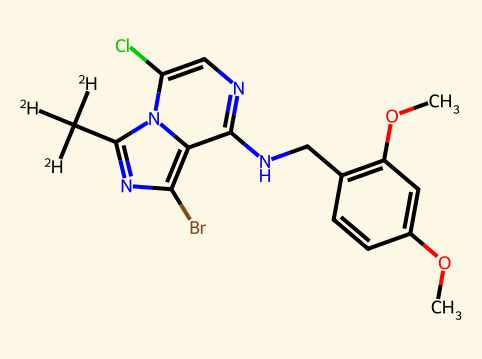 [2H]C([2H])([2H])c1nc(Br)c2c(NCc3ccc(OC)cc3OC)ncc(Cl)n12